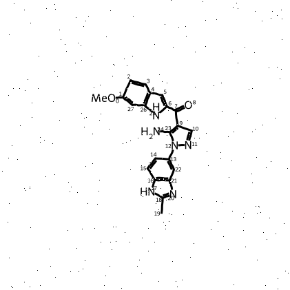 COc1ccc2cc(C(=O)c3cnn(-c4ccc5[nH]c(C)nc5c4)c3N)[nH]c2c1